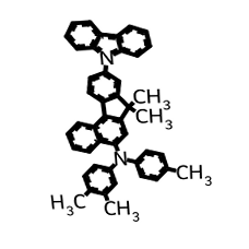 Cc1ccc(N(c2ccc(C)c(C)c2)c2cc3c(c4ccccc24)-c2ccc(-n4c5ccccc5c5ccccc54)cc2C3(C)C)cc1